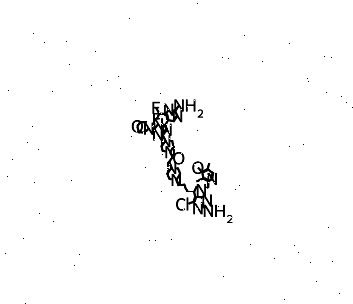 COc1c(C)cnc(CN2C[C@H](CCCN3CCN(CC(=O)N4CCN(c5nc(-c6cnc(N)nc6C(F)F)nc(N6CCOCC6)n5)CC4)CC3)c3c(Cl)nc(N)nc32)c1C